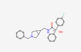 O=C(NCC1C2CN(Cc3ccccc3)CC12)[C@](O)(c1ccccc1)c1ccc(F)cc1